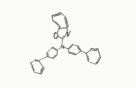 c1ccc(-c2ccc(N(c3ccc(-c4ccccc4)cc3)c3nc4ccccc4o3)cc2)cc1